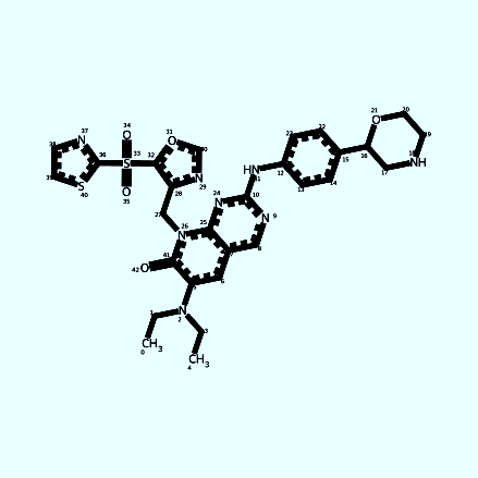 CCN(CC)c1cc2cnc(Nc3ccc(C4CNCCO4)cc3)nc2n(Cc2ncoc2S(=O)(=O)c2nccs2)c1=O